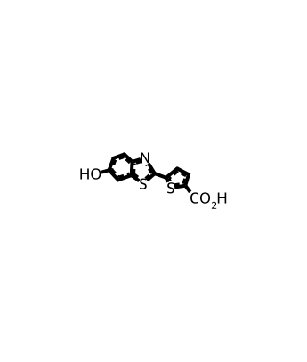 O=C(O)c1ccc(-c2nc3ccc(O)cc3s2)s1